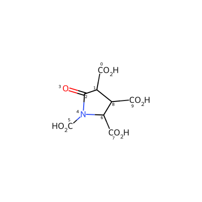 O=C(O)C1C(=O)N(C(=O)O)C(C(=O)O)C1C(=O)O